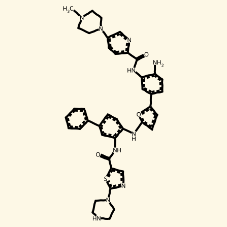 CN1CCN(c2ccc(C(=O)Nc3cc(-c4ccc(Nc5ccc(-c6ccccc6)cc5NC(=O)c5cnc(N6CCNCC6)s5)o4)ccc3N)nc2)CC1